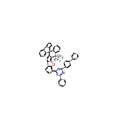 CC1(C)c2ccccc2C2(c3ccccc3-c3ccccc32)c2ccc3c(oc4c(-c5nc(-c6ccccc6)nc(-c6ccc(-c7ccccc7)cc6)n5)cccc43)c21